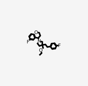 CCOCC1(CCc2ccc(F)cc2)CCN(C2CCOc3ccc(F)cc32)C1